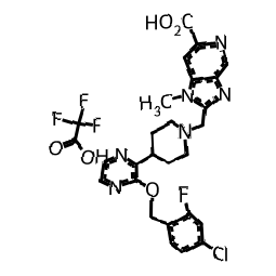 Cn1c(CN2CCC(c3nccnc3OCc3ccc(Cl)cc3F)CC2)nc2cnc(C(=O)O)cc21.O=C(O)C(F)(F)F